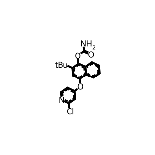 CC(C)(C)c1cc(Oc2ccnc(Cl)c2)c2ccccc2c1OC(N)=O